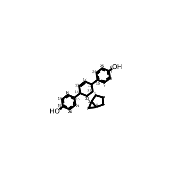 C1CC2CC2C1.Oc1ccc(C2C=CC(c3ccc(O)cc3)CC2)cc1